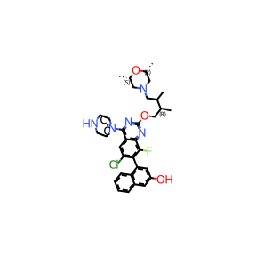 CC(CN1C[C@@H](C)O[C@@H](C)C1)[C@@H](C)COc1nc(N2CC3CCCC2CN3)c2cc(Cl)c(-c3cc(O)cc4ccccc34)c(F)c2n1